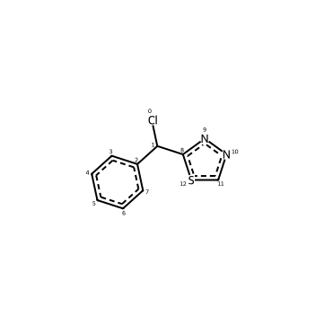 ClC(c1ccccc1)c1nncs1